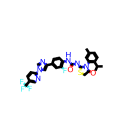 Cc1ccc(C(C)C)c(N2C(=O)CS/C2=N\C(=O)Nc2ccc(-c3cn(-c4ccc(C(F)(F)F)cn4)cn3)cc2F)c1